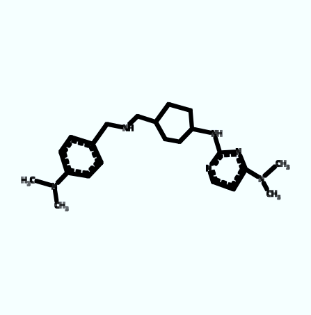 CN(C)c1ccc(CNCC2CCC(Nc3nccc(N(C)C)n3)CC2)cc1